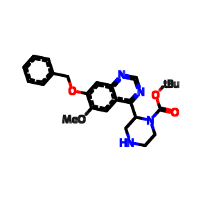 COc1cc2c(C3CNCCN3C(=O)OC(C)(C)C)ncnc2cc1OCc1ccccc1